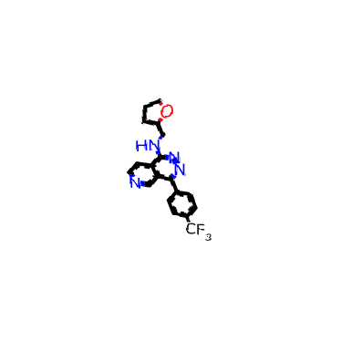 FC(F)(F)c1ccc(-c2nnc(NCC3CCCO3)c3ccncc23)cc1